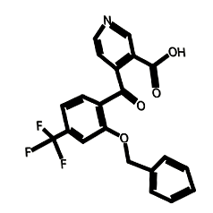 O=C(O)c1cnccc1C(=O)c1ccc(C(F)(F)F)cc1OCc1ccccc1